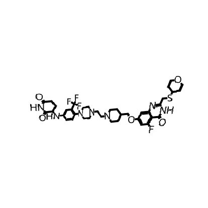 O=C1CCC(Nc2ccc(N3CCN(CCN4CCC(COc5cc(F)c6c(=O)[nH]c(CSC7CCOCC7)nc6c5)CC4)CC3)c(C(F)(F)F)c2)C(=O)N1